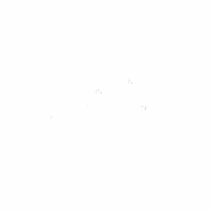 CC(C)(C)CC(C)(C)Nc1c(-c2ccc(Br)s2)nc2ccccn12